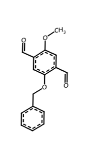 COc1cc(C=O)c(OCc2ccccc2)cc1C=O